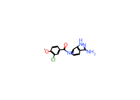 COc1ccc(C(=O)Nc2ccc3c(N)n[nH]c3c2)cc1Cl